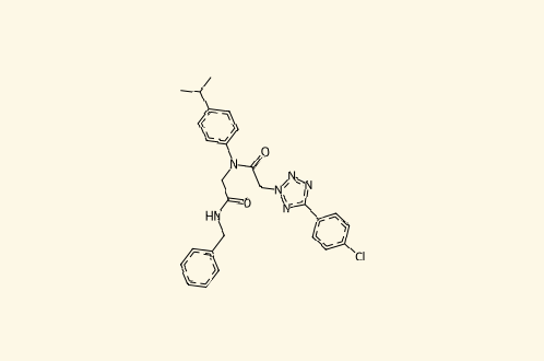 CC(C)c1ccc(N(CC(=O)NCc2ccccc2)C(=O)Cn2nnc(-c3ccc(Cl)cc3)n2)cc1